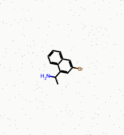 CC(N)c1cc(Br)cc2ccccc12